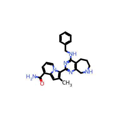 Cc1cc2c(C(N)=O)cccn2c1-c1nc2c(c(NCc3ccccc3)n1)CCCNC2